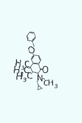 CCN(CC1CC1)[C@@H]1C(=O)c2ccc(OCc3ccccc3)cc2C(C)(C)[C@H]1C